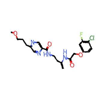 C=C(CCNC(=O)c1cnc(CCCOC)cn1)NC(=O)COc1ccc(Cl)c(F)c1